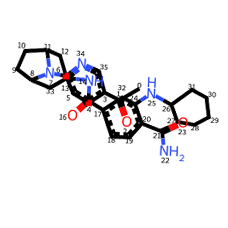 CC(=O)c1ccc(N2C3CCC2CC(NC(=O)c2ccc(C(N)=O)c(NC4CCCCC4)c2)C3)nc1